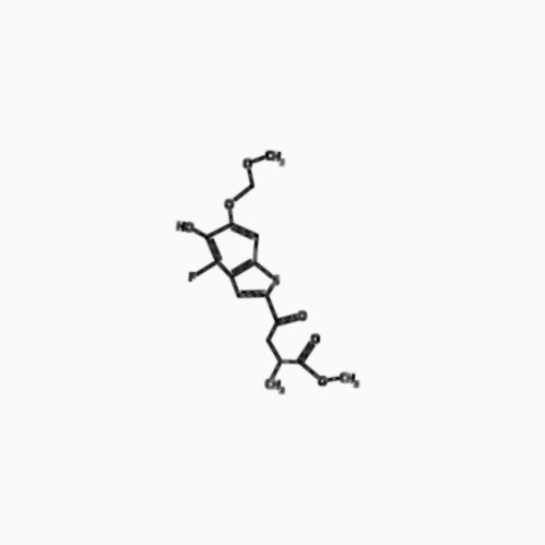 COCOc1cc2sc(C(=O)CC(C)C(=O)OC)cc2c(F)c1O